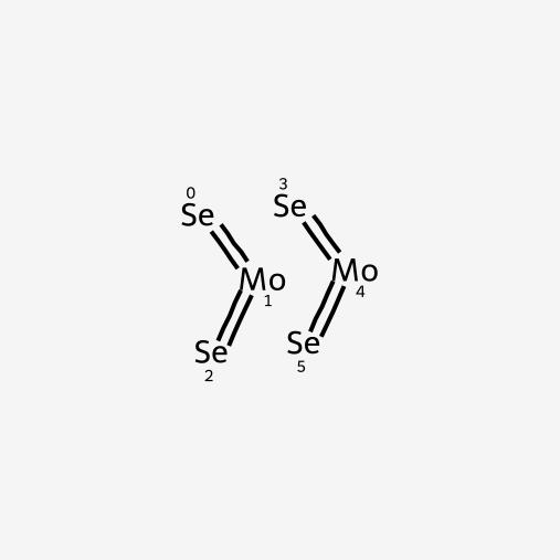 [Se]=[Mo]=[Se].[Se]=[Mo]=[Se]